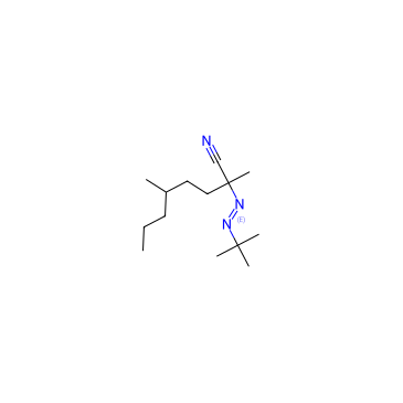 CCCC(C)CCC(C)(C#N)/N=N/C(C)(C)C